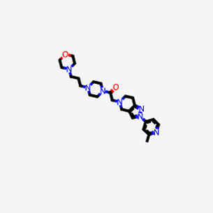 Cc1cc(-n2cc3c(n2)CCN(CC(=O)N2CCN(CCCN4CCOCC4)CC2)C3)ccn1